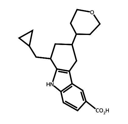 O=C(O)c1ccc2[nH]c3c(c2c1)CC(C1CCOCC1)CC3CC1CC1